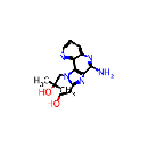 CC(C)(O)Cn1c(CCO)nc2c(N)nc3cccnc3c21